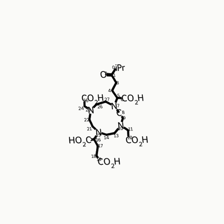 CC(C)C(=O)CCC(C(=O)O)N1CCN(CC(=O)O)CCN(C(CCC(=O)O)C(=O)O)CCN(CC(=O)O)CC1